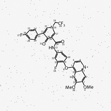 COc1cc2nccc(Oc3ccc(NC(=O)c4cn(CC(F)(F)F)cc(-c5ccc(F)cc5)c4=O)cc3F)c2nc1OC